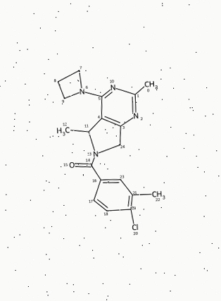 Cc1nc2c(c(N3CCC3)n1)C(C)N(C(=O)c1ccc(Cl)c(C)c1)C2